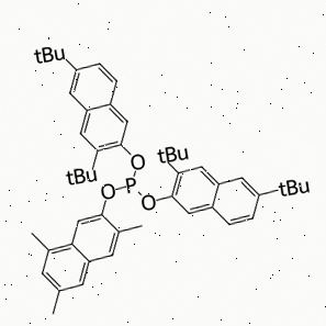 Cc1cc(C)c2cc(OP(Oc3cc4ccc(C(C)(C)C)cc4cc3C(C)(C)C)Oc3cc4ccc(C(C)(C)C)cc4cc3C(C)(C)C)c(C)cc2c1